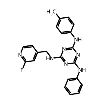 Cc1ccc(Nc2nc(NCc3ccnc(F)c3)nc(Nc3ccccc3)n2)cc1